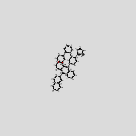 c1ccc(-c2ccccc2-c2cc(-c3c4ccccc4c(-c4ccc5ccccc5c4)c4ccccc34)ccc2-c2ncc[nH]2)cc1